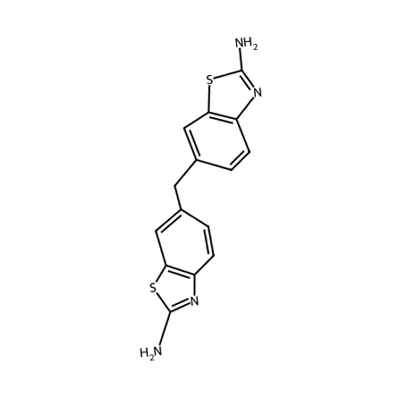 Nc1nc2ccc(Cc3ccc4nc(N)sc4c3)cc2s1